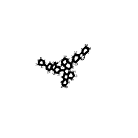 CC1(C)c2cc(-c3ccccc3)ccc2-c2ccc(C(c3ccc(-c4ccc5c(c4)oc4ccccc45)c4ccccc34)c3cc4ccccc4c4ccccc34)cc21